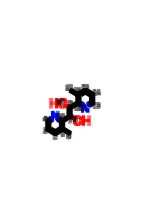 Cc1cccnc1C(O)=C(O)c1ncccc1C